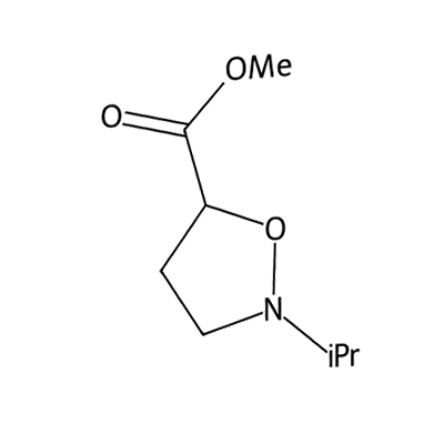 COC(=O)C1CCN(C(C)C)O1